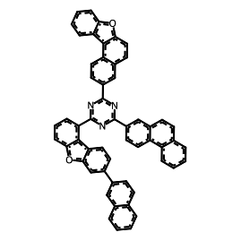 c1ccc2cc(-c3ccc4c(c3)oc3cccc(-c5nc(-c6ccc7c(ccc8ccccc87)c6)nc(-c6ccc7c(ccc8oc9ccccc9c87)c6)n5)c34)ccc2c1